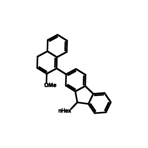 CCCCCCC1c2ccccc2-c2ccc(C3=C4C=CC=CC4CC=C3OC)cc21